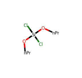 CCCO[Si](Cl)(Cl)OCCC